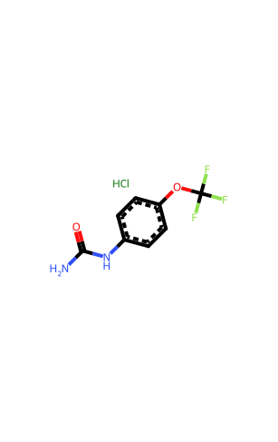 Cl.NC(=O)Nc1ccc(OC(F)(F)F)cc1